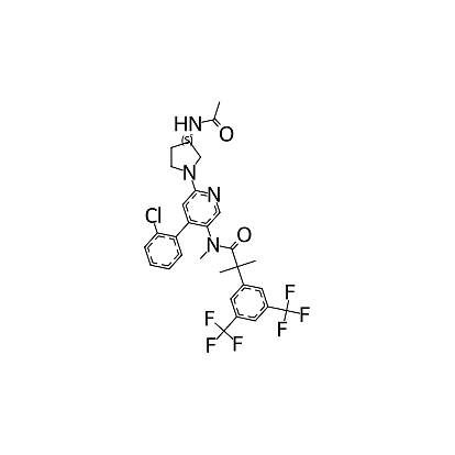 CC(=O)N[C@H]1CCN(c2cc(-c3ccccc3Cl)c(N(C)C(=O)C(C)(C)c3cc(C(F)(F)F)cc(C(F)(F)F)c3)cn2)C1